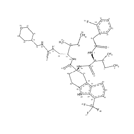 CCC(C)[C@H](NC(=O)Cc1ccccc1F)C(=O)N[C@]1(C(=O)N[C@H](CNC(=S)NCC2CCOCC2)C(C)CC)CCc2[nH]c3c(C(F)(F)F)cccc3c2C1